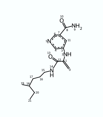 C=C(Nc1cncc(C(N)=O)c1)C(=O)NCCCC(C)CC